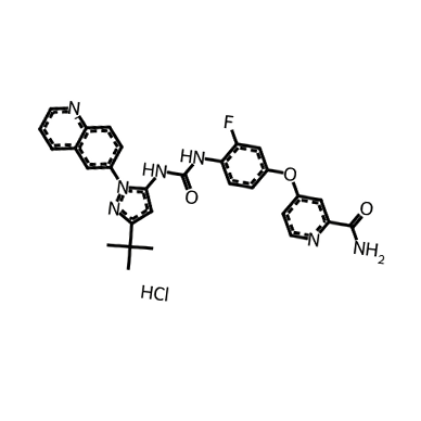 CC(C)(C)c1cc(NC(=O)Nc2ccc(Oc3ccnc(C(N)=O)c3)cc2F)n(-c2ccc3ncccc3c2)n1.Cl